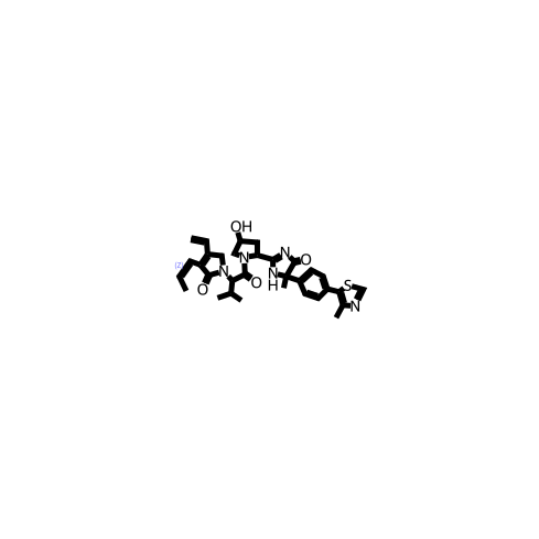 C=CC1=C(/C=C\C)C(=O)N(C(C(=O)N2CC(O)CC2C2=NC(=O)C(C)(c3ccc(-c4scnc4C)cc3)N2)C(C)C)C1